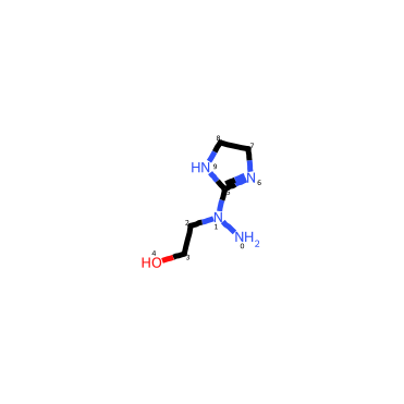 NN(CCO)C1=NCCN1